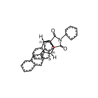 O=C1C2C(C(=O)N1c1ccccc1)[C@H]1c3ccccc3[C@@H]2c2c1sc1c2sc2cc3ccccc3cc21